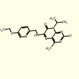 CCSc1ccc(CNc2nc3c(C)nc(Cl)nc3n(C(C)C)c2=O)nc1